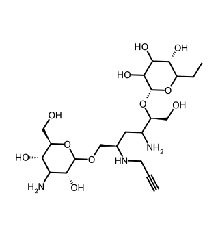 C#CCN[C@@H](COC1O[C@H](CO)[C@@H](O)C(N)[C@H]1O)CC(N)[C@H](CO)O[C@H]1OC(CC)[C@@H](O)C(O)C1O